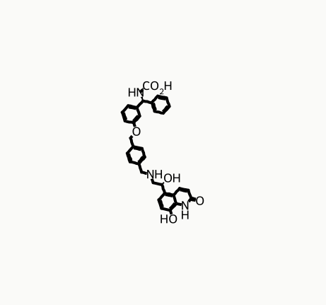 O=C(O)N[C@@H](c1ccccc1)c1cccc(OCc2ccc(CNC[C@H](O)c3ccc(O)c4[nH]c(=O)ccc34)cc2)c1